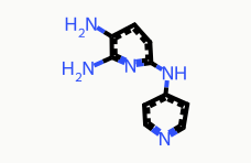 Nc1ccc(Nc2ccncc2)nc1N